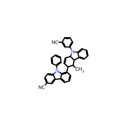 CC1C(c2cccc3c4cc(C#N)ccc4n(-c4ccccc4)c23)C=CC2C1c1ccccc1N2c1cccc(C#N)c1